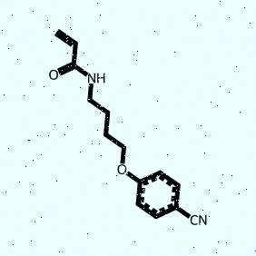 C=CC(=O)NCCCCOc1ccc(C#N)cc1